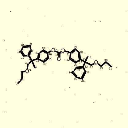 CCCOCC(C)(c1ccccc1)c1ccc(OC(=O)Oc2ccc(C(C)(COCCC)c3ccccc3)cc2)cc1